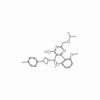 COc1cccc(OC)c1-c1nc(COC(C)C)nc(O)c1C(=O)N1CC(c2ccc(C)cc2)C1